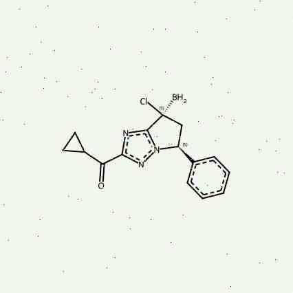 B[C@]1(Cl)C[C@@H](c2ccccc2)n2nc(C(=O)C3CC3)nc21